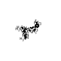 CC(C)N(CCCN(C(N)=O)c1ccc(Cl)c(C(F)(F)F)c1)C[C@H]1O[C@@H](n2cnc3c(N)ncnc32)[C@@H]2OC(C)(C)O[C@@H]21